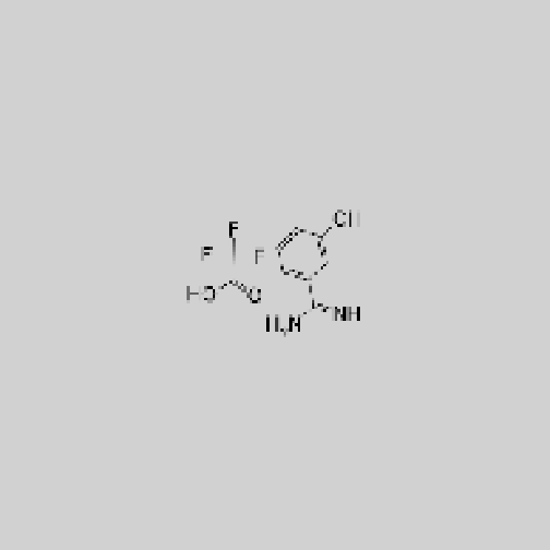 N=C(N)c1cccc(O)c1.O=C(O)C(F)(F)F